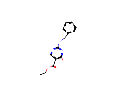 CCOC(=O)c1cnc(NCc2ccccc2)nc1O